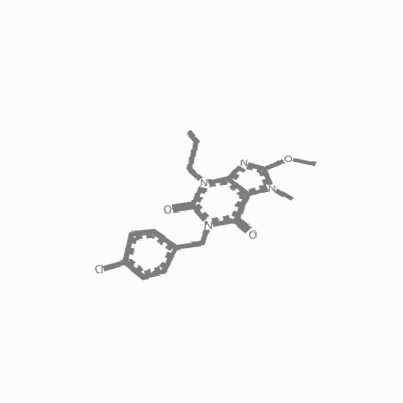 CCCn1c(=O)n(Cc2ccc(Cl)cc2)c(=O)c2c1nc(OC)n2C